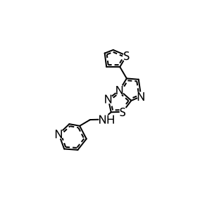 c1cncc(CNc2nn3c(-c4cccs4)cnc3s2)c1